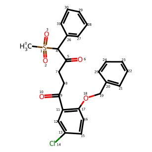 CS(=O)(=O)C(C(=O)CCC(=O)c1cc(Cl)ccc1OCc1ccccc1)c1ccccc1